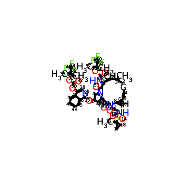 C[C@@H]1CC/C=C\[C@@H]2C[C@@]2(C(=O)NS(=O)(=O)C2(C)CC2)NC(=O)[C@@H]2C[C@@H](Oc3ncc(OC(=O)OC(C)(C)C(F)(F)F)c4ccccc34)CN2C(=O)[C@@H](NC(=O)OC(C)(C)C(F)(F)F)[C@H](C)C1